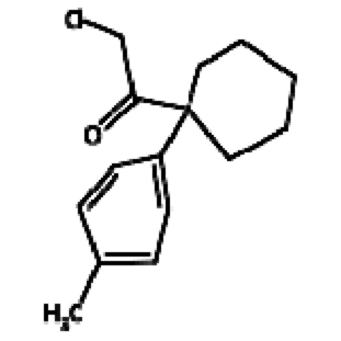 Cc1ccc(C2(C(=O)CCl)CCCCC2)cc1